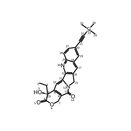 CC[C@@]1(O)C(=O)OCc2c1cc1n(c2=O)Cc2cc3cc(C#C[Si](C)(C)C)ccc3nc2-1